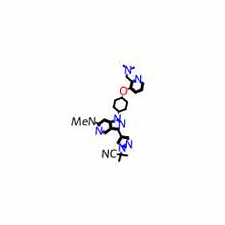 CNc1cc2c(cn1)c(-c1cnn(C(C)(C)C#N)c1)nn2[C@H]1CC[C@@H](Oc2cccnc2CN(C)C)CC1